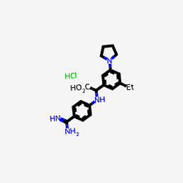 CCc1cc(C(Nc2ccc(C(=N)N)cc2)C(=O)O)cc(N2CCCC2)c1.Cl